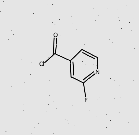 O=C(Cl)c1ccnc(F)c1